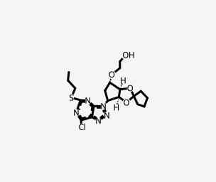 CCCSc1nc(Cl)c2nnn(C3C[C@H](OCCO)[C@H]4OC5(CCCC5)O[C@@H]34)c2n1